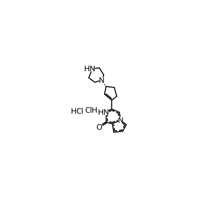 Cl.Cl.O=c1[nH]c(C2=C[C@H](N3CCNCC3)CC2)cn2cccc12